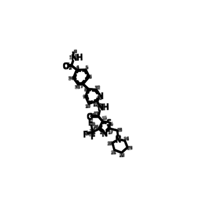 CNC(=O)c1ccc(-c2ccc(NC(=O)c3sc(CN4CCCCC4)nc3C(F)(F)F)nc2)cc1